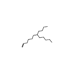 C=CCCCCC(CCCC)CCCCC